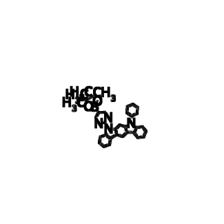 CC1(C)OB(c2cnc(-n3c4ccccc4c4cc5c6ccccc6n(-c6ccccc6)c5cc43)nc2)OC1(C)C